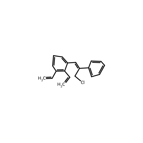 C=Cc1cccc(C=C(CCl)c2ccccc2)c1C=C